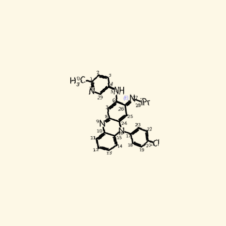 Cc1ccc(Nc2cc3nc4ccccc4n(-c4ccc(Cl)cc4)c-3c/c2=N\C(C)C)cn1